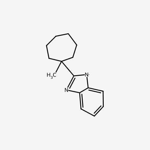 CC1(C2=Nc3ccccc3[N]2)CCCCCC1